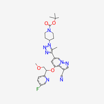 COCC(Oc1cc(-c2nnn(C3CCN(C(=O)OC(C)(C)C)CC3)c2C)cn2ncc(C#N)c12)c1ccc(F)cn1